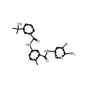 Cc1ccc(NC(=O)c2cccc(C(C)(C)C#N)c2)cc1C(=O)Nc1cnc(N)c(Br)c1